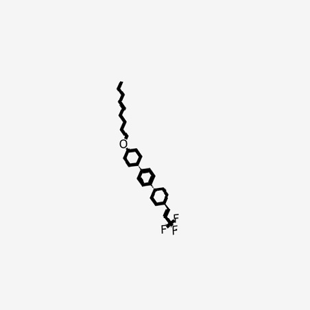 CCCCCCCCCO[C@H]1CC[C@H](c2ccc([C@H]3CC[C@H](C=CC(F)(F)F)CC3)cc2)CC1